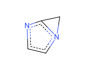 c1cn2c(n1)C2